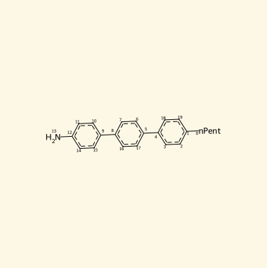 CCCCCc1ccc(-c2ccc(-c3ccc(N)cc3)cc2)cc1